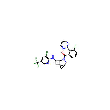 O=C(c1cccc(F)c1-c1ncccn1)N1CC2CC23CC(Nc2ncc(C(F)(F)F)cc2F)C13